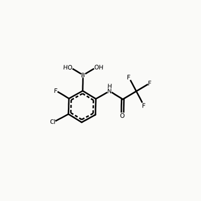 O=C(Nc1ccc(Cl)c(F)c1B(O)O)C(F)(F)F